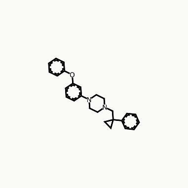 c1ccc(Oc2cccc(N3CCN(CC4(c5ccccc5)CC4)CC3)c2)cc1